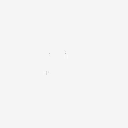 C1=C[SH](S[SH]2C=CC=C2)C=C1